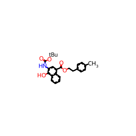 Cc1ccc(CCOC(=O)c2cc(NC(=O)OC(C)(C)C)c(O)c3ccccc23)cc1